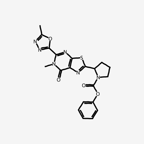 Cc1nnc(-c2nc3sc(C4CCCN4C(=O)Oc4ccccc4)nc3c(=O)n2C)o1